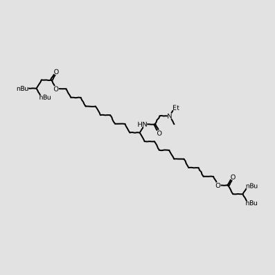 CCCCC(CCCC)CC(=O)OCCCCCCCCCCC(CCCCCCCCCCOC(=O)CC(CCCC)CCCC)NC(=O)CN(C)CC